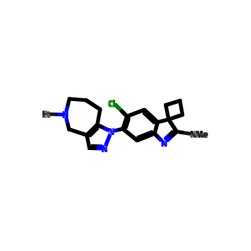 CCN1CCCc2c(cnn2-c2cc3c(cc2Cl)C2(CCC2)C(NC)=N3)C1